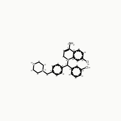 NC1=CCN(C(c2ccc(CN3CCOCC3)cc2)c2cccc(Cl)c2)c2cc(Cl)ccc21